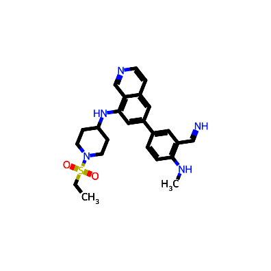 CCS(=O)(=O)N1CCC(Nc2cc(-c3ccc(NC)c(C=N)c3)cc3ccncc23)CC1